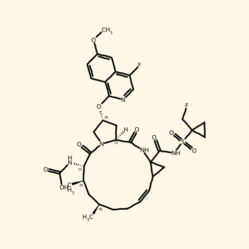 COc1ccc2c(O[C@@H]3C[C@H]4C(=O)NC5(C(=O)NS(=O)(=O)C6(CF)CC6)CC5/C=C\CC[C@@H](C)C[C@@H](C)[C@H](NC(=O)O)C(=O)N4C3)ncc(F)c2c1